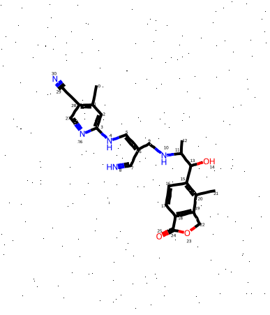 Cc1cc(N/C=C(\C=N)CNC(C)C(O)c2ccc3c(c2C)COC3=O)ncc1C#N